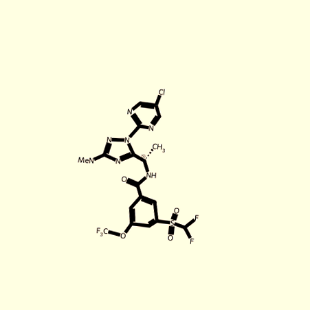 CNc1nc([C@H](C)NC(=O)c2cc(OC(F)(F)F)cc(S(=O)(=O)C(F)F)c2)n(-c2ncc(Cl)cn2)n1